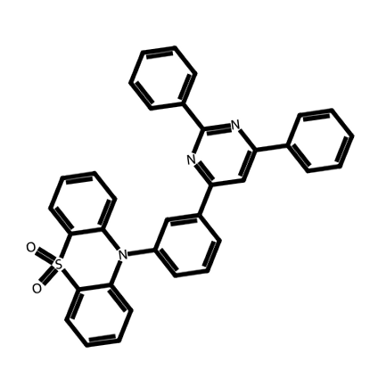 O=S1(=O)c2ccccc2N(c2cccc(-c3cc(-c4ccccc4)nc(-c4ccccc4)n3)c2)c2ccccc21